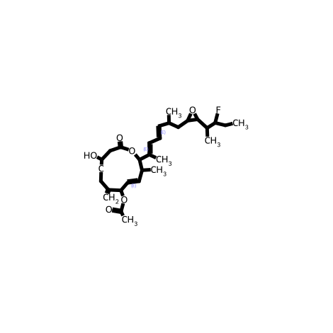 C=C1CCC(O)CC(=O)OC(/C(C)=C/C=C/C(C)CC2OC2C(C)C(F)CC)C(C)/C=C/C1OC(C)=O